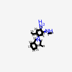 C=CNc1cc(N(CCC)Cc2ccccc2)c(CC)cc1N